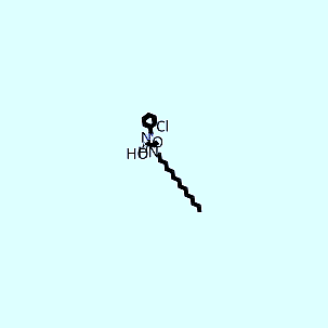 CCCCCCCCCCCCCCNC(=O)[C@H](CO)/N=C/c1ccccc1Cl